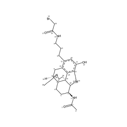 CC(=O)N[C@H]1CCC2[C@H]3Cc4c(CCCNC(=O)CBr)cc(O)c5c4[C@@]2(CCN3C)[C@H]1O5